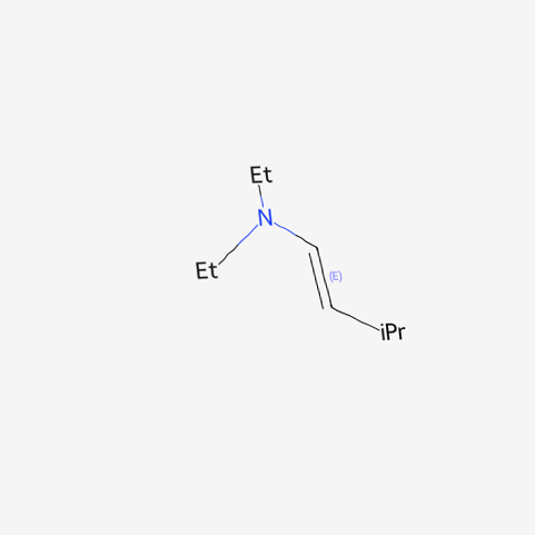 CCN(/C=C/C(C)C)CC